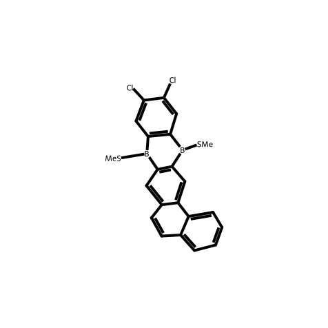 CSB1c2cc(Cl)c(Cl)cc2B(SC)c2cc3c(ccc4ccccc43)cc21